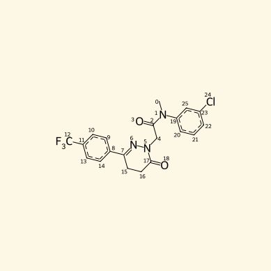 CN(C(=O)CN1N=C(c2ccc(C(F)(F)F)cc2)CCC1=O)c1cccc(Cl)c1